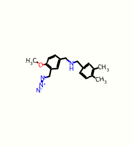 COc1ccc(CNCc2ccc(C)c(C)c2)cc1CN=[N+]=[N-]